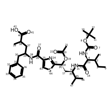 CCC(C)[C@H](NC(=O)OC(C)(C)C)C(=O)N[C@H](C[C@@H](OC(C)=O)c1nc(C(=O)NC(Cc2ccccc2)CC(C)C(=O)O)cs1)C(C)C